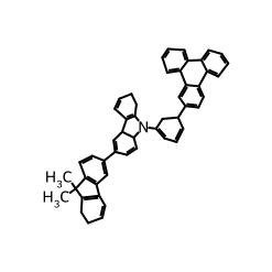 CC1(C)C2=C(C=CCC2)c2cc(C3=CC4C5=C(CCC=C5)N(C5=CC=CC(c6ccc7c8ccccc8c8ccccc8c7c6)C5)C4C=C3)ccc21